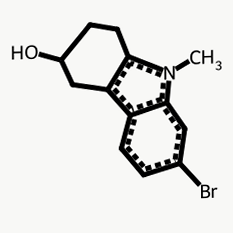 Cn1c2c(c3ccc(Br)cc31)CC(O)CC2